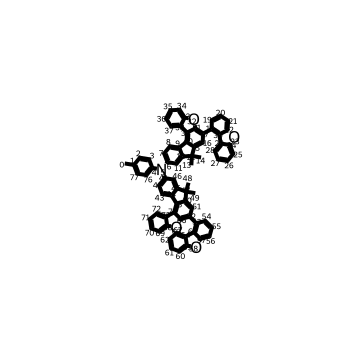 Cc1ccc(N(c2ccc3c(c2)C(C)(C)c2cc(-c4cccc5oc6ccccc6c45)c4oc5ccccc5c4c2-3)c2ccc3c(c2)C(C)(C)c2cc(-c4cccc5oc6ccccc6c45)c4oc5ccccc5c4c2-3)cc1